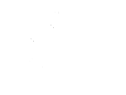 CCOc1cccc(C2(C)C=CC(Nc3ccc(C(F)(F)F)cc3C(=O)O)=CN2)c1